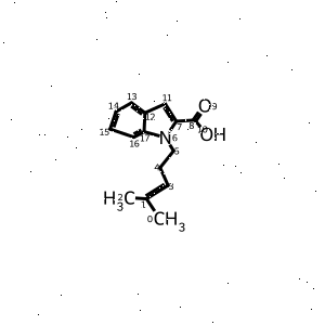 CC(C)=CCCn1c(C(=O)O)cc2ccccc21